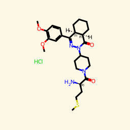 COc1ccc(C2=NN(C3CCN(C(=O)[C@H](N)CCSC)CC3)C(=O)[C@@H]3CCCC[C@H]23)cc1OC.Cl